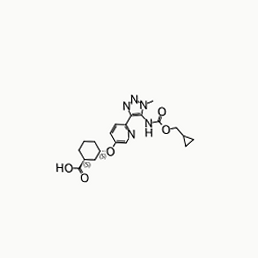 Cn1nnc(-c2ccc(O[C@H]3CCC[C@H](C(=O)O)C3)cn2)c1NC(=O)OCC1CC1